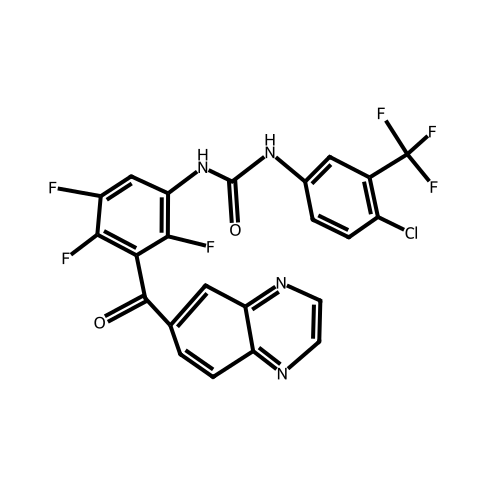 O=C(Nc1ccc(Cl)c(C(F)(F)F)c1)Nc1cc(F)c(F)c(C(=O)c2ccc3nccnc3c2)c1F